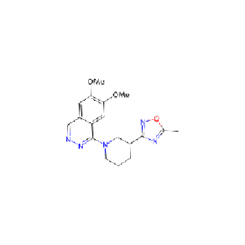 COc1cc2cnnc(N3CCCC(c4noc(C)n4)C3)c2cc1OC